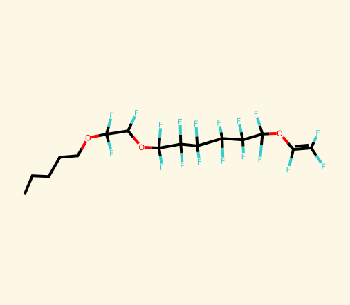 CCCCCOC(F)(F)C(F)OC(F)(F)C(F)(F)C(F)(F)C(F)(F)C(F)(F)C(F)(F)OC(F)=C(F)F